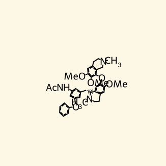 COc1cc2c(cc1Oc1c3c(cc(OC)c1OC)CCN(C)C3)[C@@H](Cc1cc(NC(C)=O)cc(Oc3ccccc3)c1)N(C)CC2